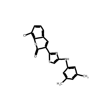 Cc1cc(C)cc(Nc2csc(-c3cc4cccc(Cl)c4oc3=O)n2)c1